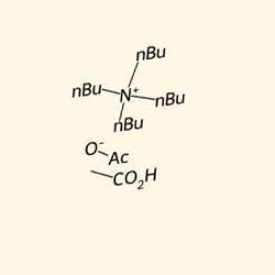 CC(=O)O.CC(=O)[O-].CCCC[N+](CCCC)(CCCC)CCCC